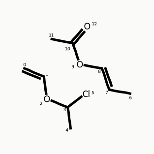 C=COC(C)Cl.CC=COC(C)=O